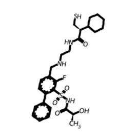 C[C@H](O)C(=O)NS(=O)(=O)c1c(-c2ccccc2)ccc(CNCCNC(=O)[C@@H](CS)C2CCCCC2)c1F